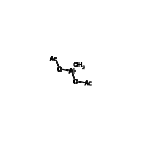 CC(=O)[O][Al][O]C(C)=O.O